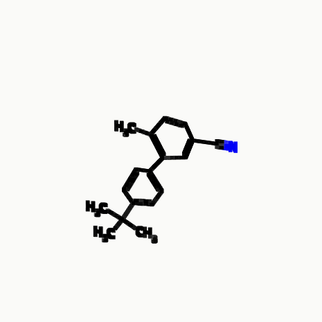 Cc1ccc(C#N)cc1-c1ccc(C(C)(C)C)cc1